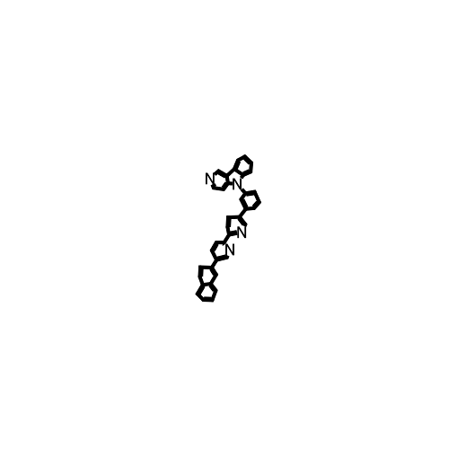 c1cc(-c2ccc(-c3ccc(-c4ccc5ccccc5c4)cn3)nc2)cc(-n2c3ccccc3c3cnccc32)c1